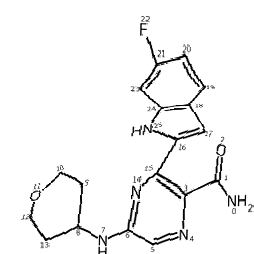 NC(=O)c1ncc(NC2CCOCC2)nc1-c1cc2ccc(F)cc2[nH]1